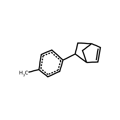 Cc1ccc(C2CC3C=CC2C3)cc1